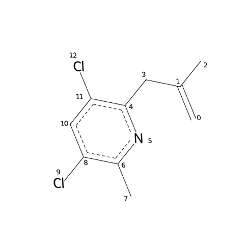 C=C(C)Cc1nc(C)c(Cl)cc1Cl